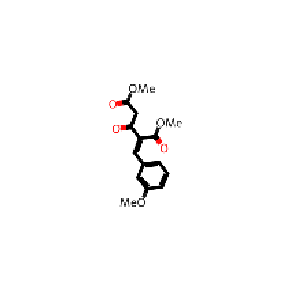 COC(=O)CC(=O)C(=Cc1cccc(OC)c1)C(=O)OC